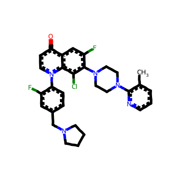 Cc1cccnc1N1CCN(c2c(F)cc3c(=O)ccn(-c4ccc(CN5CCCC5)cc4F)c3c2Cl)CC1